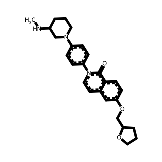 CNC1CCCN(c2ccc(-n3ccc4cc(OCC5CCCO5)ccc4c3=O)cc2)C1